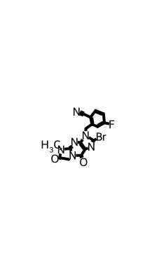 CN1C(=O)Cn2c1nc1c(nc(Br)n1Cc1cc(F)ccc1C#N)c2=O